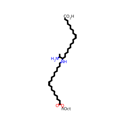 CCCCCCCCOC(=O)CCCCCCC/C=C\CCCCCCCCNC(CCCCCCCC/C=C\CCCCCCCC(=O)O)C(C)N